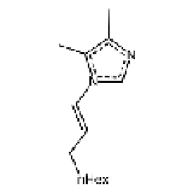 CCCCCCCC=Cn1cnc(C)c1C